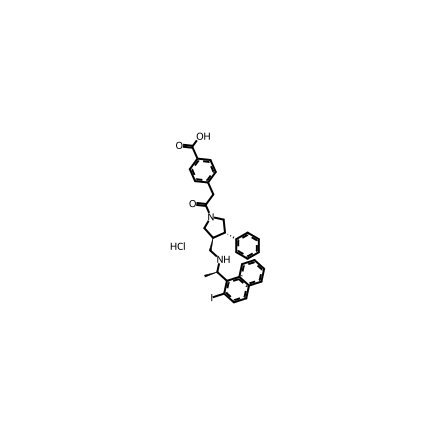 C[C@@H](NC[C@H]1CN(C(=O)Cc2ccc(C(=O)O)cc2)C[C@@H]1c1ccccc1)c1c(I)ccc2ccccc12.Cl